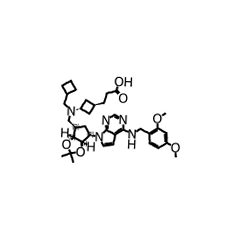 COc1ccc(CNc2ncnc3c2ccn3[C@@H]2C[C@H](CN(CC3CCC3)[C@H]3C[C@H](CCC(=O)O)C3)[C@H]3OC(C)(C)O[C@H]32)c(OC)c1